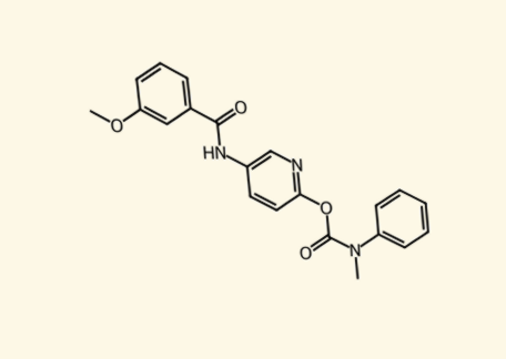 COc1cccc(C(=O)Nc2ccc(OC(=O)N(C)c3ccccc3)nc2)c1